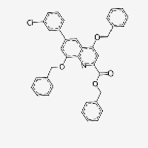 O=C(OCc1ccccc1)c1cc(OCc2ccccc2)c2cc(-c3cccc(Cl)c3)cc(OCc3ccccc3)c2n1